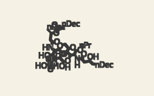 CCCCCCCCCCCC(=O)O[C@H](CCCCCCCCCCC)CC(=O)NC1C(OCC2OC(OCCC)C(NC(=O)C[C@H](O)CCCCCCCCCCC)C(O)C2O)OC(CO)C(OP(=O)(O)O)C1O